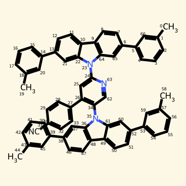 Cc1cccc(-c2ccc3c4ccc(-c5cccc(C)c5)cc4n(-c4cc(-c5ccc(C#N)cc5)c(-n5c6cc(-c7cccc(C)c7)ccc6c6ccc(-c7cccc(C)c7)cc65)cn4)c3c2)c1